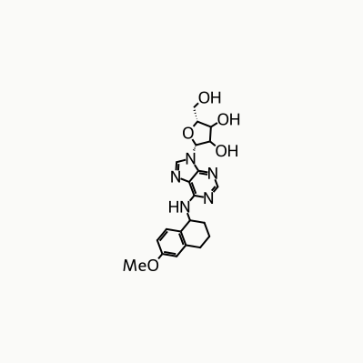 COc1ccc2c(c1)CCCC2Nc1ncnc2c1ncn2[C@@H]1O[C@H](CO)C(O)C1O